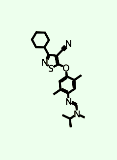 Cc1cc(Oc2snc(C3CCCCC3)c2C#N)c(C)cc1N=CN(C)C(C)C